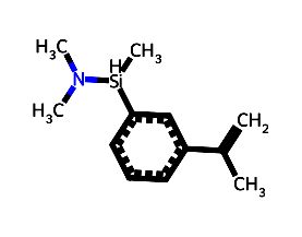 C=C(C)c1cccc([SiH](C)N(C)C)c1